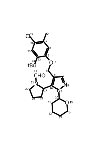 Cc1cc(OCc2cnn(C3CCCCO3)c2C2CCCN2C=O)c(C(C)(C)C)cc1Cl